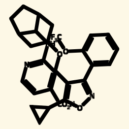 O=C(O)c1ccnc(NC2C3CCC2CC(OCc2c(-c4ccccc4OC(F)(F)F)noc2C2CC2)C3)c1